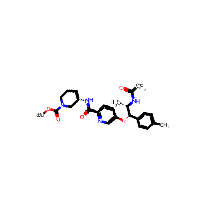 Cc1ccc([C@H](Oc2ccc(C(=O)N[C@H]3CCCN(C(=O)OC(C)(C)C)C3)nc2)[C@H](C)NC(=O)C(F)(F)F)cc1